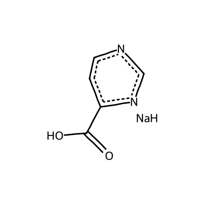 O=C(O)c1ccncn1.[NaH]